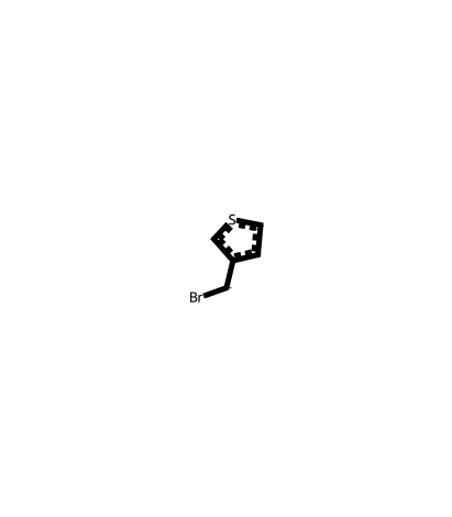 Br[CH]c1ccsc1